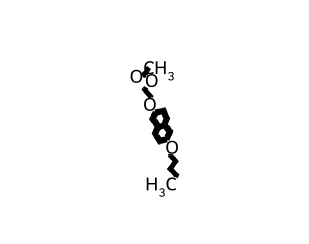 CCCCCOc1ccc2cc(OCCOC(C)=O)ccc2c1